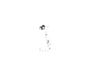 CCCCCCCC/C=C\CCCCCCCCNCCCC1CNCCN1